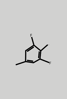 [CH2]c1c(F)cc(C)cc1F